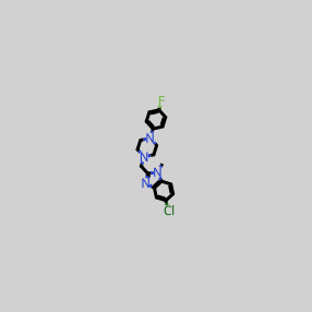 Cn1c(CN2CCN(c3ccc(F)cc3)CC2)nc2cc(Cl)ccc21